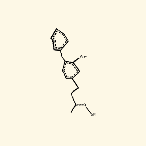 CCCOC(C)CCc1ccc(-c2ccccc2)c(C(C)=O)c1